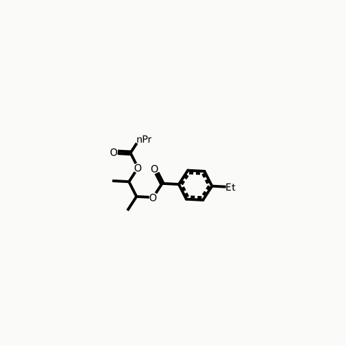 CCCC(=O)OC(C)C(C)OC(=O)c1ccc(CC)cc1